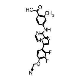 Cc1cc(Nc2nccn3c(-c4ccc(OCC#N)c(F)c4F)cnc23)ccc1C(=O)O